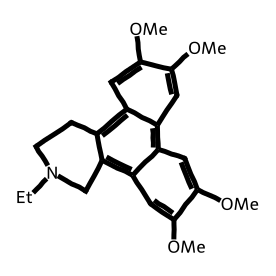 CCN1CCc2c(c3cc(OC)c(OC)cc3c3cc(OC)c(OC)cc23)C1